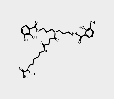 CC(C)(C)C(=O)N(O)CCCCCNC(=O)CCC(=O)N(CCCCNC(=O)c1cccc(O)c1O)CCCNC(=O)c1cccc(O)c1O